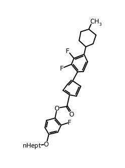 CCCCCCCOc1ccc(OC(=O)c2ccc(-c3ccc(C4CCC(C)CC4)c(F)c3F)cc2)c(F)c1